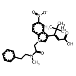 CN(CCc1ccccc1)C(=O)Cn1cc(C(=CC(=O)O)C(C)(C)C)c2cc([N+](=O)[O-])ccc21